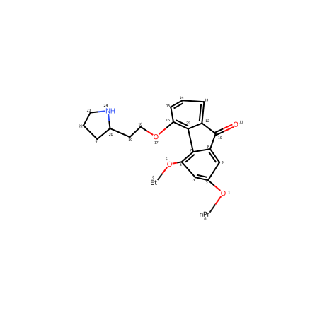 CCCOc1cc(OCC)c2c(c1)C(=O)c1cccc(OCCC3CCCN3)c1-2